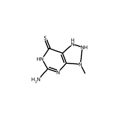 CN1NNc2c1nc(N)[nH]c2=S